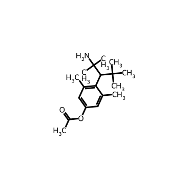 CC(=O)Oc1cc(C)c(C(C(C)(C)C)C(C)(C)N)c(C)c1